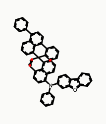 c1ccc(-c2ccc3c4c(cccc24)C2(c4ccccc4-3)c3ccccc3-c3ccc(N(c4ccccc4)c4ccc5c(c4)oc4ccccc45)c4cccc2c34)cc1